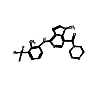 Cc1c(Nc2ncc(C(=O)N3CCOCC3)c3c2ncn3C)cccc1C(F)(F)F